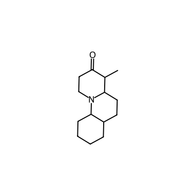 CC1C(=O)CCN2C3CCCCC3CCC12